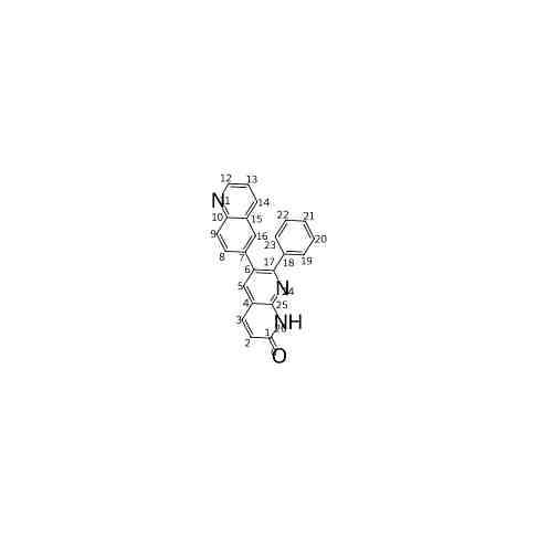 O=c1ccc2cc(-c3ccc4ncccc4c3)c(-c3ccccc3)nc2[nH]1